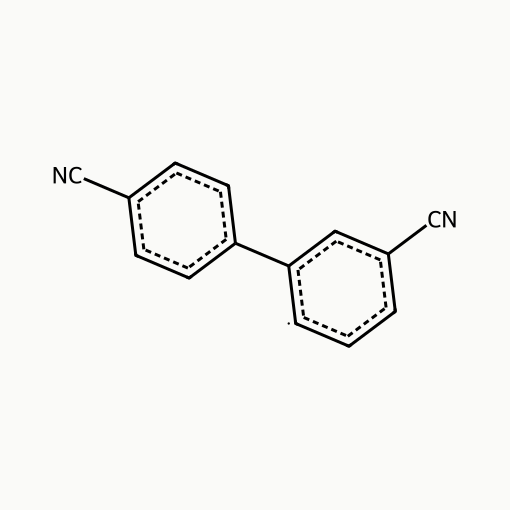 N#Cc1ccc(-c2[c]ccc(C#N)c2)cc1